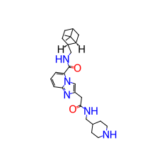 CC1(C)C2CC[C@@H](CNC(=O)c3cccc4nc(CC(=O)NCC5CCNCC5)cn34)[C@H]1C2